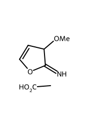 CC(=O)O.COC1C=COC1=N